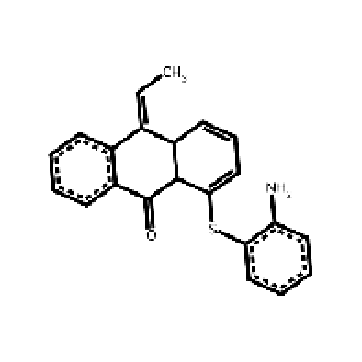 CC=C1c2ccccc2C(=O)C2C(Sc3ccccc3N)=CC=CC12